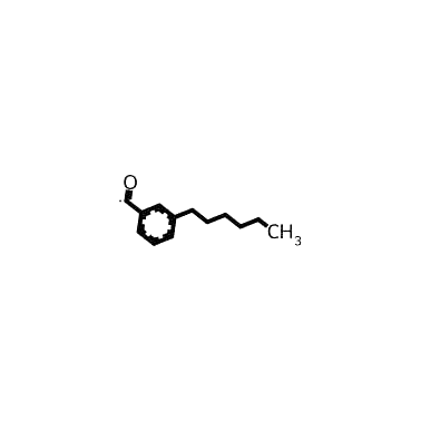 CCCCCCc1cccc([C]=O)c1